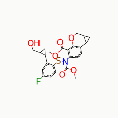 COC(=O)c1c(N(Sc2ccc(F)cc2C2CC2CO)C(=O)OC)ccc2c1OCC1CC21